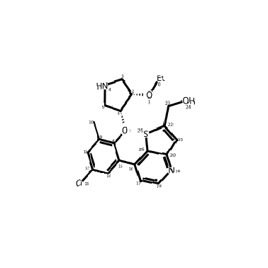 CCO[C@H]1CNC[C@H]1Oc1c(C)cc(Cl)cc1-c1ccnc2cc(CO)sc12